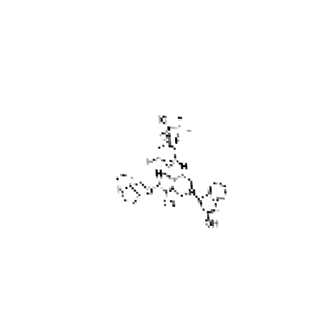 N#Cc1c(OCC23CCCN2CCC3)nc(N2[C@@H]3CC[C@H]2CNC3)c2c1CN(c1cc(O)cc3ccccc13)CC2.O=C(O)C(F)(F)F